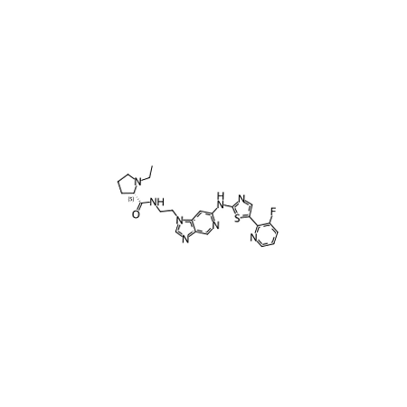 CCN1CCC[C@H]1C(=O)NCCn1cnc2cnc(Nc3ncc(-c4ncccc4F)s3)cc21